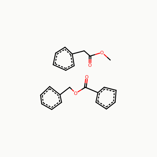 COC(=O)Cc1ccccc1.O=C(OCc1ccccc1)c1ccccc1